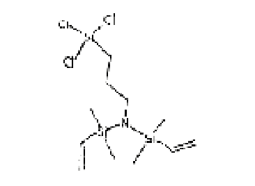 C=C[Si](C)(C)N(CCC[Si](Cl)(Cl)Cl)[Si](C)(C)C=C